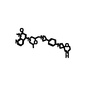 CC1CN(c2cc(=O)n(C)c3ncccc23)CC(CN2CC(c3ccc(N4CC5(CNCCO5)C4)cc3)C2)O1